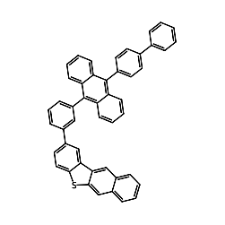 c1ccc(-c2ccc(-c3c4ccccc4c(-c4cccc(-c5ccc6sc7cc8ccccc8cc7c6c5)c4)c4ccccc34)cc2)cc1